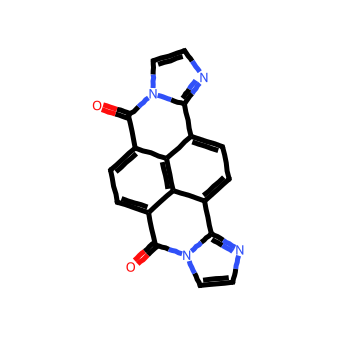 O=c1c2ccc3c(=O)n4ccnc4c4ccc(c2c34)c2nccn12